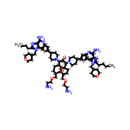 CCCCc1nc2c(N)nc3cc(C4CCN(C(C(=O)C(C5CCC(COCCN)CC5)N5CCC(c6cc7nc(N)c8nc(CCCC)n(CC9CCOCC9)c8c7s6)CC5)C5CCC(COCCN)CC5)CC4)sc3c2n1CC1CCOCC1